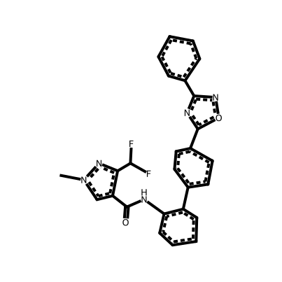 Cn1cc(C(=O)Nc2ccccc2-c2ccc(-c3nc(-c4ccccc4)no3)cc2)c(C(F)F)n1